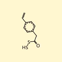 C=Cc1ccc(CC(=O)SS)cc1